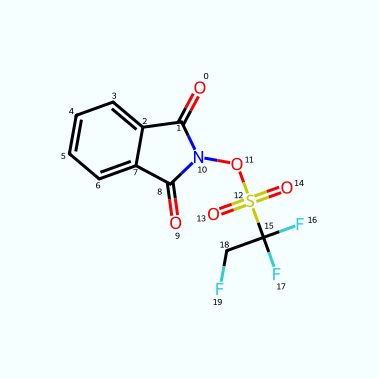 O=C1c2ccccc2C(=O)N1OS(=O)(=O)C(F)(F)CF